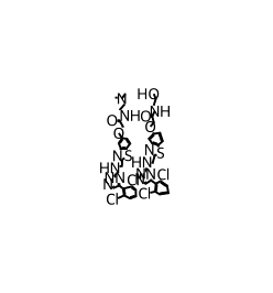 CN(C)CCNC(=O)COc1ccc2sc(CNc3nncc(-c4c(Cl)cccc4Cl)n3)nc2c1.O=C(COc1ccc2sc(CNc3nncc(-c4c(Cl)cccc4Cl)n3)nc2c1)NCCO